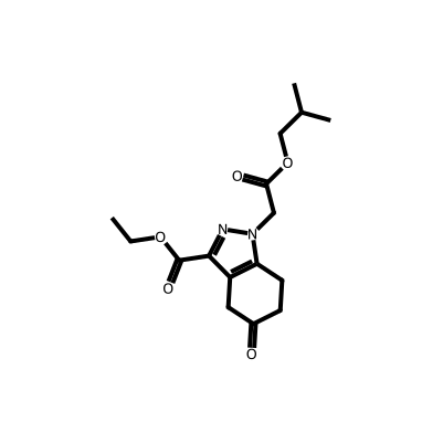 CCOC(=O)c1nn(CC(=O)OCC(C)C)c2c1CC(=O)CC2